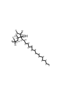 CCCCCCCCCCCCCCCCC(O)(C(C)CC)C(C)CC(C)(C)C